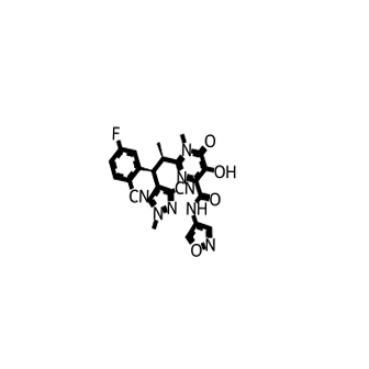 C[C@@H](c1nc(C(=O)Nc2cnoc2)c(O)c(=O)n1C)[C@H](c1cc(F)ccc1C#N)c1cn(C)nc1C#N